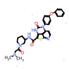 CN(C)CC(=O)N1CCCC(NC(=O)c2sc3nccc4c3c2NC(=O)N4c2ccc(Oc3ccccc3)cc2)C1